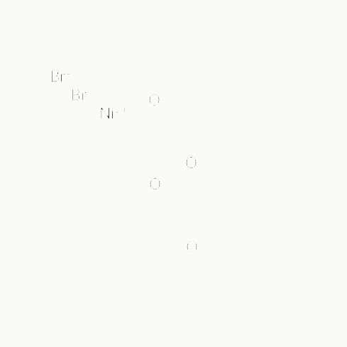 O=C(OOC(=O)c1ccccc1)c1ccccc1.[Br-].[Br-].[Ni+2]